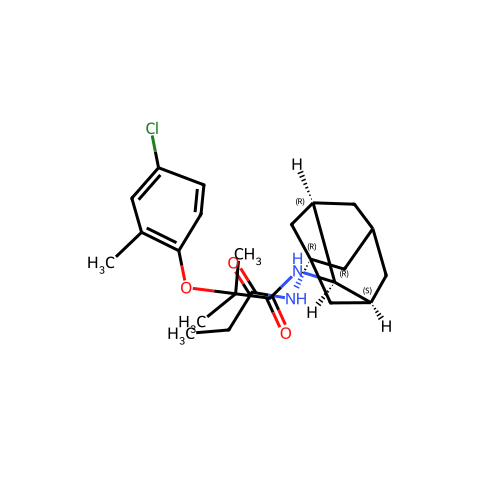 CCC(=O)N[C@@]12CC3C[C@H](C1)[C@H](NC(=O)C(C)(C)Oc1ccc(Cl)cc1C)[C@@H](C3)C2